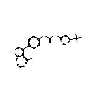 CC(C)(C)c1cc(NC(=O)Nc2ccc(-c3c[nH]c4ncnc(N)c34)cc2)no1